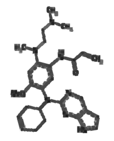 C=CC(=O)Nc1cc(N(c2ncc3cc[nH]c3n2)C2CC=CCC2)c(OC)cc1N(C)CCN(C)C